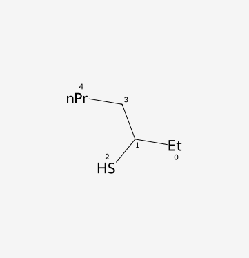 [CH2]CC(S)CCCC